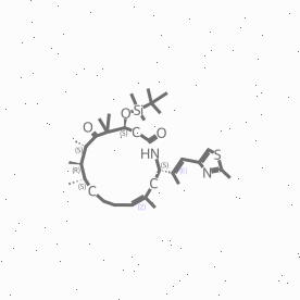 C/C1=C/CCC[C@H](C)[C@@H](C)[C@H](C)C(=O)C(C)(C)[C@@H](O[Si](C)(C)C(C)(C)C)CC(=O)N[C@H](/C(C)=C/c2csc(C)n2)C1